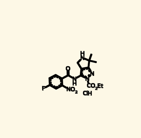 CCOC(=O)n1nc2c(c1NC(=O)c1ccc(F)cc1[N+](=O)[O-])CNC2(C)C.Cl